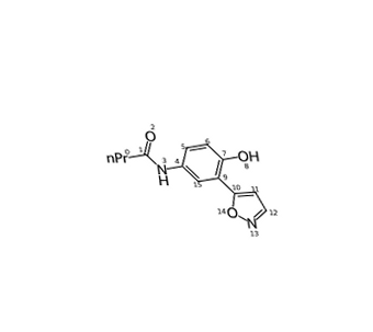 CCCC(=O)Nc1ccc(O)c(-c2ccno2)c1